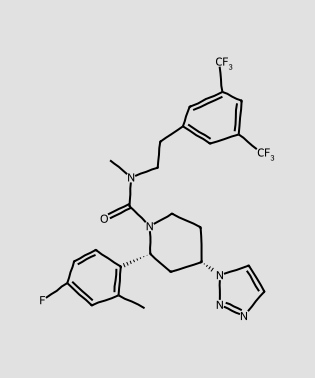 Cc1cc(F)ccc1[C@H]1C[C@@H](n2ccnn2)CCN1C(=O)N(C)CCc1cc(C(F)(F)F)cc(C(F)(F)F)c1